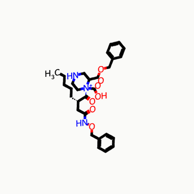 CCCCC[C@@H](CC(=O)NOCc1ccccc1)C(=O)[N@+]1(C(=O)O)CCNCC1C(=O)OCc1ccccc1